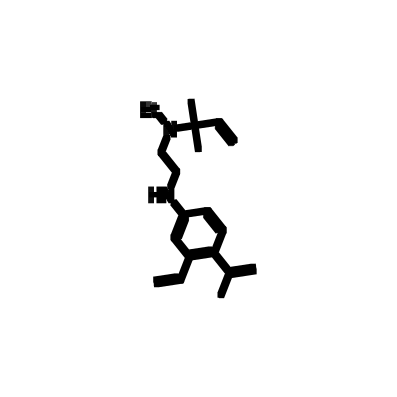 C=Cc1cc(NCCN(CC)C(C)(C)C=C)ccc1C(=C)C